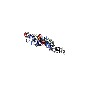 CC1(C)CCC(CN2CCN(c3cccc(C(=O)NS(=O)(=O)c4ccc(NCC5CCOCC5)c([N+](=O)[O-])c4)c3Oc3cnc4[nH]ccc4c3)CC2)=C(c2ccc(Cl)cc2)C1